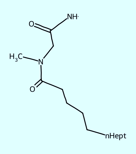 CCCCCCCCCCCC(=O)N(C)CC([NH])=O